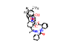 CO[C@H]1C[C@]2(O)CCC3C4(CCC([C@H](C)N)[C@@]3(OC(=O)c3ccccc3NC(=O)c3ccccc3)[C@H](C)N4)C3C[C@H]1[C@H](OC)[C@@]32O